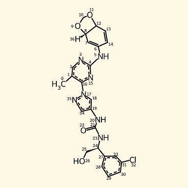 Cc1cnc(NC2=C[C@@H]3OCOC3C=C2)nc1-n1cc(NC(=O)N[C@H](CO)c2cccc(Cl)c2)cn1